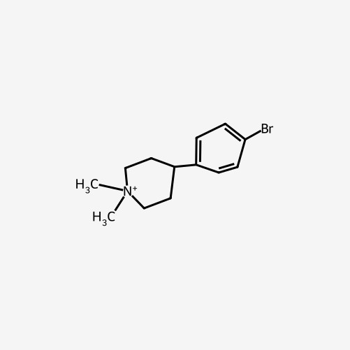 C[N+]1(C)CCC(c2ccc(Br)cc2)CC1